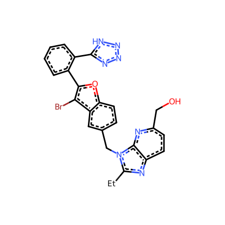 CCc1nc2ccc(CO)nc2n1Cc1ccc2oc(-c3ccccc3-c3nnn[nH]3)c(Br)c2c1